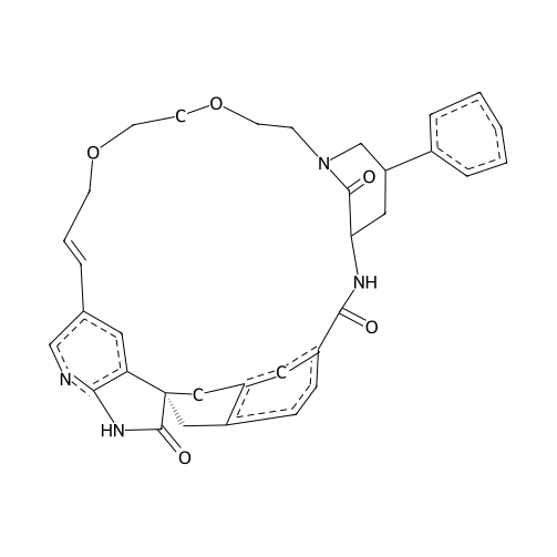 O=C1NC2CC(c3ccccc3)CN(CCOCCOC/C=C/c3cnc4c(c3)[C@]3(Cc5ccc1cc5C3)C(=O)N4)C2=O